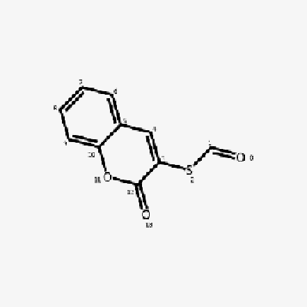 O=CSc1cc2ccccc2oc1=O